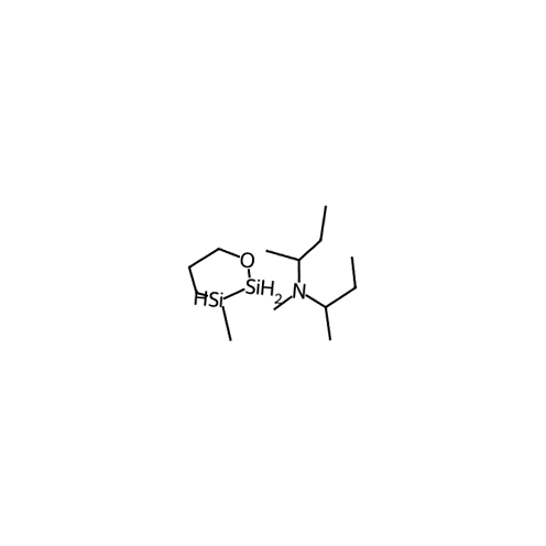 CCC(C)N(C)C(C)CC.C[SiH]1CCCO[SiH2]1